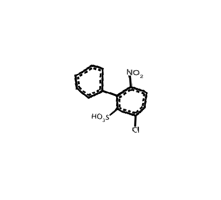 O=[N+]([O-])c1ccc(Cl)c(S(=O)(=O)O)c1-c1ccccc1